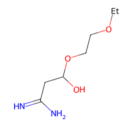 CCOCCOC(O)CC(=N)N